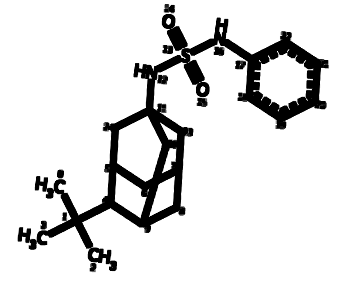 CC(C)(C)C1C2CC3CC1CC(NS(=O)(=O)Nc1ccccc1)(C3)C2